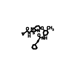 Cc1ccc(NC(=O)C#Cc2ccccc2)cc1Oc1ccc2nc(NC(=O)C3CC3)sc2n1